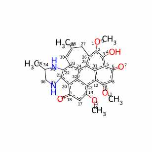 COc1c(O)c2c(=O)cc(OC)c3c4c(OC)cc(=O)c5c6c(c7c(c(c1CC(C)=C7)c23)c54)NC(C)CN6